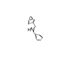 c1ccc(NCc2ccoc2)cc1